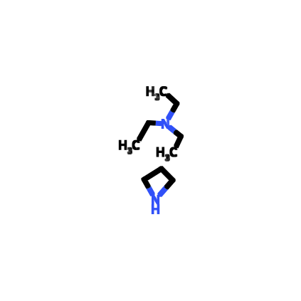 C1CNC1.CCN(CC)CC